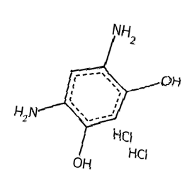 Cl.Cl.Nc1cc(N)c(O)cc1O